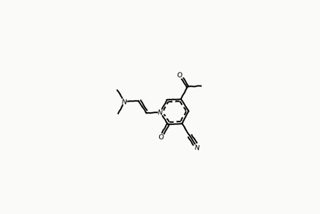 CC(=O)c1cc(C#N)c(=O)n(C=CN(C)C)c1